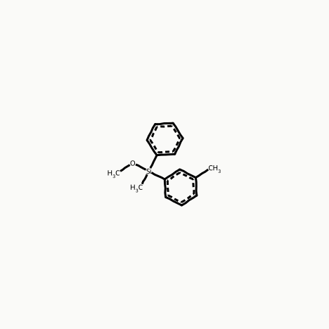 CO[Si](C)(c1ccccc1)c1cccc(C)c1